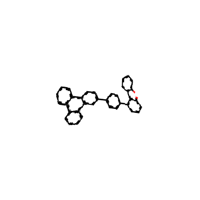 c1ccc2c(c1)oc1cccc(-c3ccc(-c4ccc5c6ccccc6c6ccccc6c5c4)cc3)c12